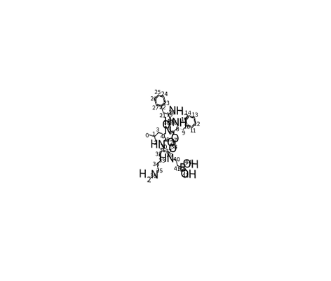 CC(C)C[C@@H](NC(=O)[C@@H](Cc1ccccc1)NC(=O)[C@H](N)Cc1ccccc1)C(=O)N[C@H](CCCCN)C(=O)NCCB(O)O